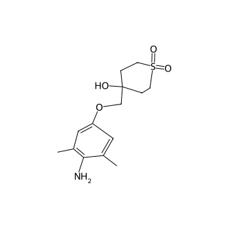 Cc1cc(OCC2(O)CCS(=O)(=O)CC2)cc(C)c1N